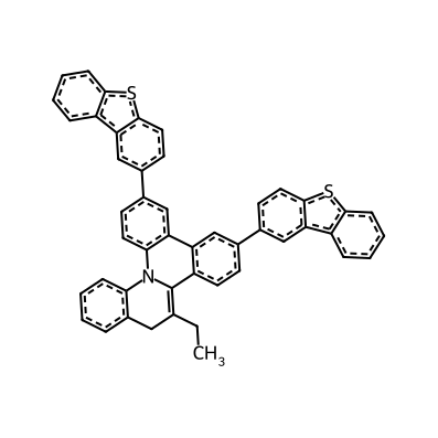 CCC1=C2c3ccc(-c4ccc5sc6ccccc6c5c4)cc3-c3cc(-c4ccc5sc6ccccc6c5c4)ccc3N2c2ccccc2C1